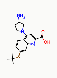 CC(C)(C)Sc1ccc2c(N3CC[C@@H](N)C3)cc(C(=O)O)nc2c1